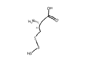 N[C@@H](CSSS)C(=O)O